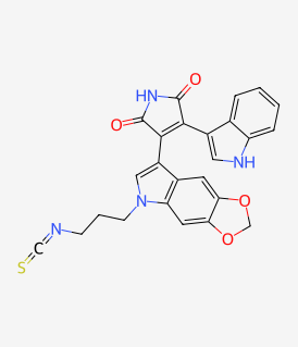 O=C1NC(=O)C(c2cn(CCCN=C=S)c3cc4c(cc23)OCO4)=C1c1c[nH]c2ccccc12